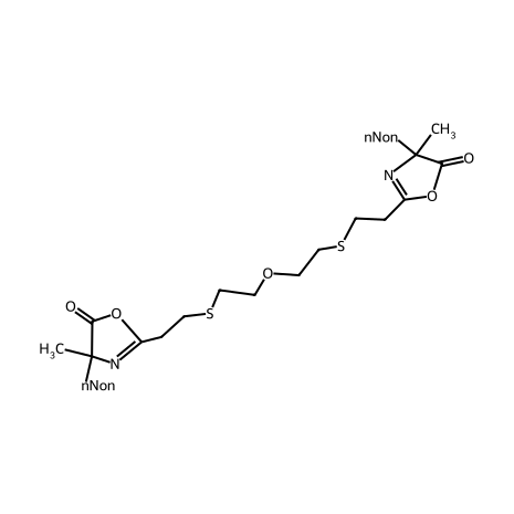 CCCCCCCCCC1(C)N=C(CCSCCOCCSCCC2=NC(C)(CCCCCCCCC)C(=O)O2)OC1=O